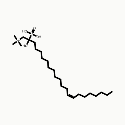 CCCCCCC/C=C\CCCCCCCCCCCC(O)(C[N+](C)(C)C)P(=O)(O)O